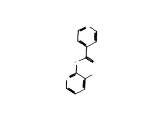 S=C(Nc1ncccc1Cl)c1ccncc1